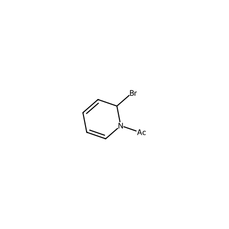 CC(=O)N1C=CC=CC1Br